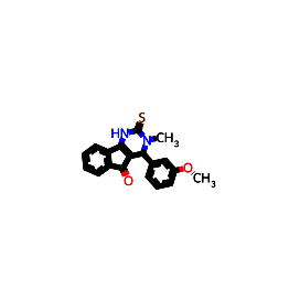 COc1cccc(C2C3=C(NC(=S)N2C)c2ccccc2C3=O)c1